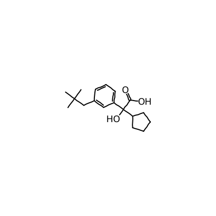 CC(C)(C)Cc1cccc(C(O)(C(=O)O)C2CCCC2)c1